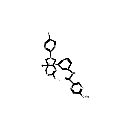 COc1cnc(C(=O)Nc2cccc([C@]34CN(c5ncc(F)cn5)C[C@H]3CSC(N)=N4)c2)cn1